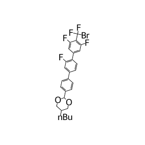 CCCCC1COC(c2ccc(-c3ccc(-c4cc(F)c(C(F)(F)Br)c(F)c4)c(F)c3)cc2)OC1